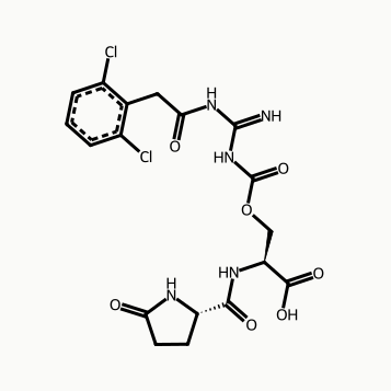 N=C(NC(=O)Cc1c(Cl)cccc1Cl)NC(=O)OC[C@H](NC(=O)[C@@H]1CCC(=O)N1)C(=O)O